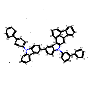 c1ccc(-c2ccc(-n3c4ccccc4c4cc(-c5ccc6c(c5)c5c7cccc8c7c(cc5n6-c5cccc(-c6ccccc6)c5)-c5ccccc5-8)ccc43)cc2)cc1